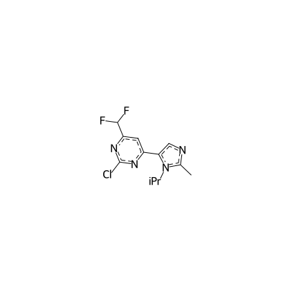 Cc1ncc(-c2cc(C(F)F)nc(Cl)n2)n1C(C)C